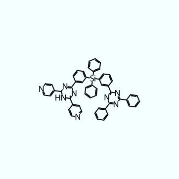 c1ccc(-c2nc(-c3ccccc3)nc(-c3cccc([Si](c4ccccc4)(c4ccccc4)c4cccc(C5=NC(c6ccncc6)NC(c6ccncc6)=N5)c4)c3)n2)cc1